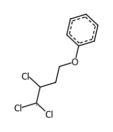 Cl[C](Cl)C(Cl)CCOc1ccccc1